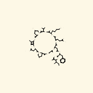 CCC(C)C(NC(=O)C(Cc1ccccc1)NC(=O)CC1NC(=O)CNC(=O)C2CC(O)CN2C(=O)C(CC(N)=O)NC2=CC(C)C2NC(=O)C2CC(O)CN2C(=O)C(C(C)O)NC(=O)C(CCCCN)NC(=O)C(CCC(=O)O)NC1=O)C(N)=O